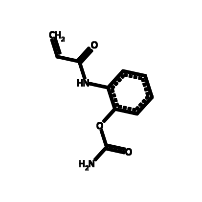 C=CC(=O)Nc1ccccc1OC(N)=O